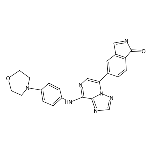 O=C1N=Cc2cc(-c3cnc(Nc4ccc(N5CCOCC5)cc4)c4ncnn34)ccc21